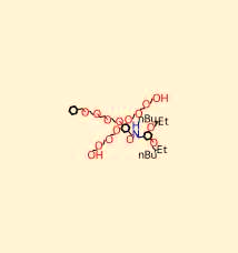 CCCCC(CC)COc1cc(CNC(=O)c2cc(OCCOCCOCCO)c(OCCOCCOCCOCc3ccccc3)c(OCCOCCOCCO)c2)cc(OC[C@H](CC)CCCC)c1